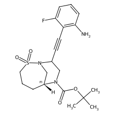 CC(C)(C)OC(=O)N1CC(C#Cc2c(N)cccc2F)N2C[C@H]1CCCS2(=O)=O